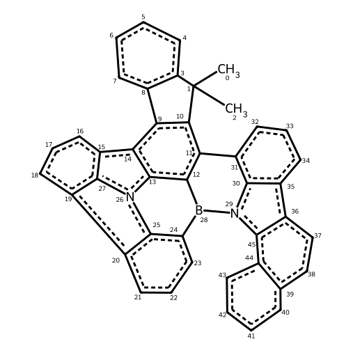 CC1(C)c2ccccc2-c2c1c1c3c4c2c2cccc5c6cccc(c6n4c52)B3n2c3c-1cccc3c1ccc3ccccc3c12